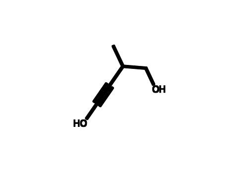 CC(C#CO)CO